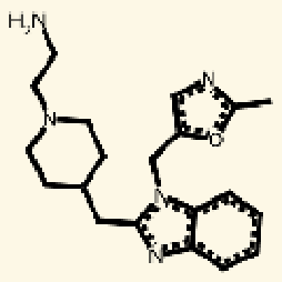 Cc1ncc(Cn2c(CC3CCN(CCN)CC3)nc3ccccc32)o1